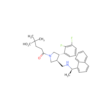 C[C@@H](NC[C@H]1CN(C(=O)CCC(C)(C)C(=O)O)C[C@@H]1c1cccc(F)c1F)c1cccc2ccccc12